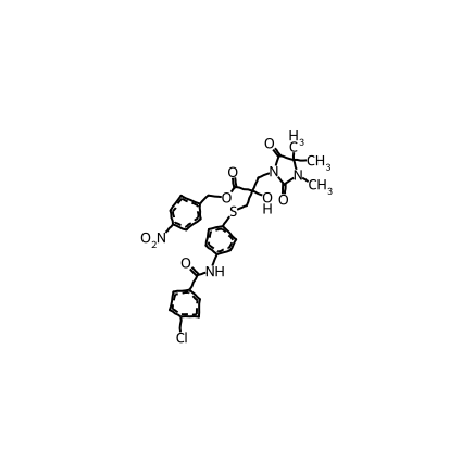 CN1C(=O)N(CC(O)(CSc2ccc(NC(=O)c3ccc(Cl)cc3)cc2)C(=O)OCc2ccc([N+](=O)[O-])cc2)C(=O)C1(C)C